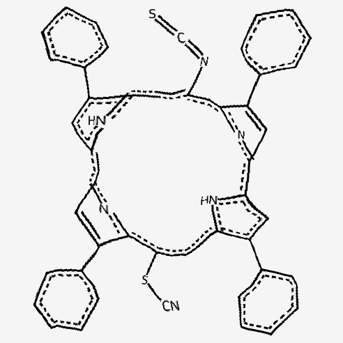 N#CSc1cc2[nH]c(cc2-c2ccccc2)c2nc(c(N=C=S)cc3[nH]c(cc3-c3ccccc3)c3nc1C(c1ccccc1)=C3)C(c1ccccc1)=C2